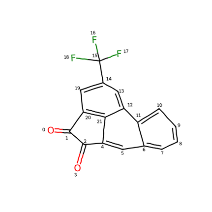 O=C1C(=O)c2cc3ccccc3c3cc(C(F)(F)F)cc1c23